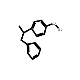 [CH2]C(Cc1ccccc1)c1ccc(OCC)cc1